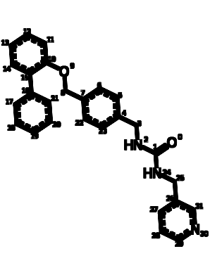 O=C(NCc1ccc(COc2ccccc2-c2ccccc2)cc1)NCc1cccnc1